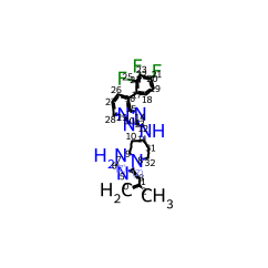 C=C(C)/C=C(\N=C/N)N1CCC(Nc2nc3c(-c4ccc(F)c(F)c4F)cccn3n2)CC1